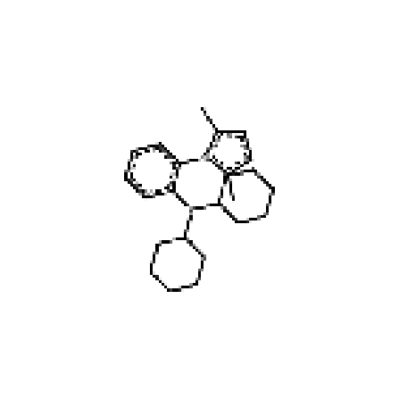 Cc1ccc(C)n1-c1ccccc1P(C1CCCCC1)C1CCCCC1